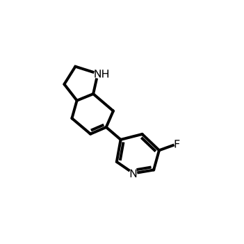 Fc1cncc(C2=CCC3CCNC3C2)c1